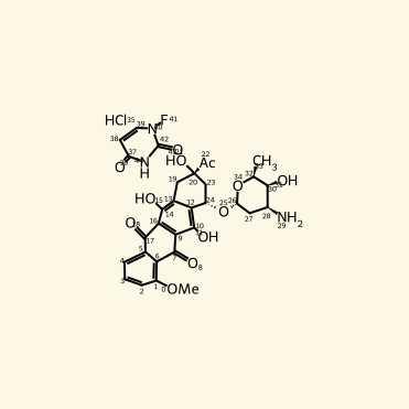 COc1cccc2c1C(=O)c1c(O)c3c(c(O)c1C2=O)C[C@@](O)(C(C)=O)C[C@@H]3O[C@H]1C[C@H](N)[C@H](O)[C@H](C)O1.Cl.O=c1ccn(F)c(=O)[nH]1